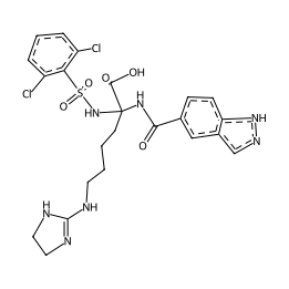 O=C(NC(CCCCNC1=NCCN1)(NS(=O)(=O)c1c(Cl)cccc1Cl)C(=O)O)c1ccc2[nH]ncc2c1